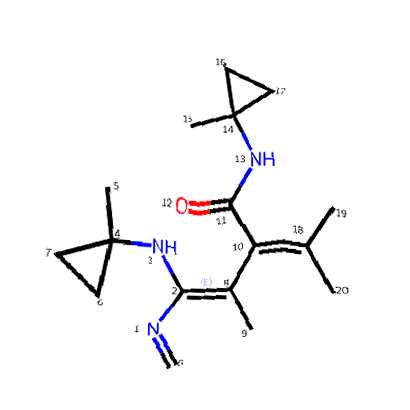 C=N/C(NC1(C)CC1)=C(\C)C(C(=O)NC1(C)CC1)=C(C)C